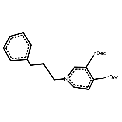 CCCCCCCCCCc1cc[n+](CCCc2ccccc2)cc1CCCCCCCCCC